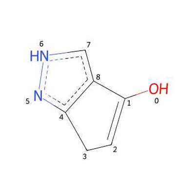 OC1=CCc2n[nH]cc21